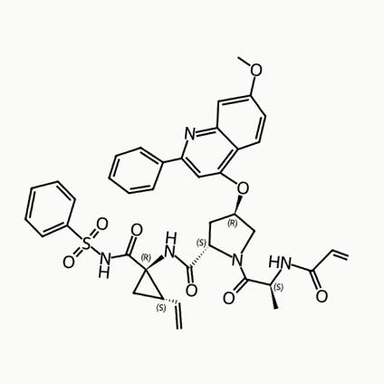 C=CC(=O)N[C@@H](C)C(=O)N1C[C@H](Oc2cc(-c3ccccc3)nc3cc(OC)ccc23)C[C@H]1C(=O)N[C@]1(C(=O)NS(=O)(=O)c2ccccc2)C[C@H]1C=C